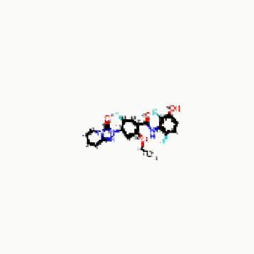 O=C(Nc1c(F)ccc(O)c1F)c1cc(F)c(-n2nc3n(c2=O)CCCC3)cc1OCC(F)(F)F